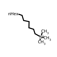 [CH2]CCCCCCCCCCC[N+](C)(C)C